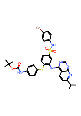 CC(C)c1ccc2c(Nc3cc(S(=O)(=O)Nc4ccc(Br)cc4)ccc3Sc3ccc(NC(=O)OC(C)(C)C)cc3)ncnc2n1